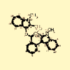 Cc1c(OC(=O)c2ccccc2-c2c(C)n(C)c3ccccc23)c2ccccc2n1C